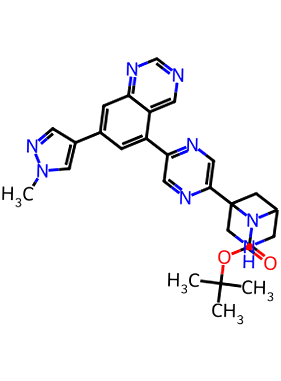 Cn1cc(-c2cc(-c3cnc(C45CNCC(C4)N5C(=O)OC(C)(C)C)cn3)c3cncnc3c2)cn1